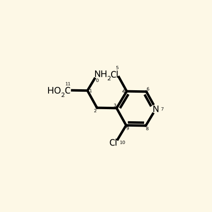 NC(Cc1c(Cl)cncc1Cl)C(=O)O